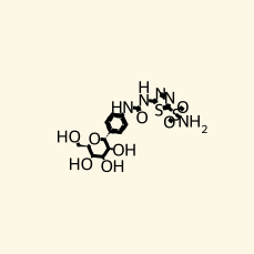 NS(=O)(=O)c1nnc(NC(=O)Nc2ccc([C@H]3O[C@H](CO)[C@@H](O)[C@H](O)[C@@H]3O)cc2)s1